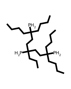 CCCCC(P)(CCCC)CCC(P)(CCC)CCC(P)(CCCC)CCCC